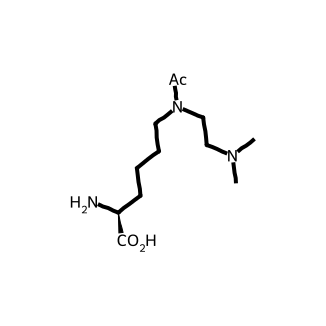 CC(=O)N(CCCC[C@H](N)C(=O)O)CCN(C)C